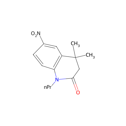 CCCN1C(=O)CC(C)(C)c2cc([N+](=O)[O-])ccc21